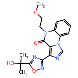 COCCn1c(=O)c2c(-c3noc(C(C)(C)O)n3)ncn2c2ccccc21